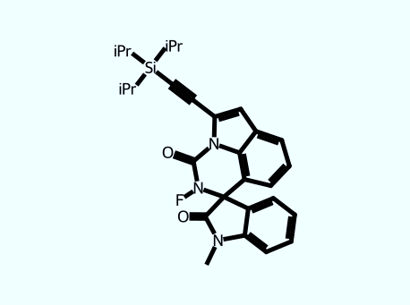 CC(C)[Si](C#Cc1cc2cccc3c2n1C(=O)N(F)C31C(=O)N(C)c2ccccc21)(C(C)C)C(C)C